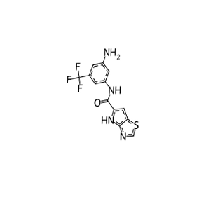 Nc1cc(NC(=O)c2cc3scnc3[nH]2)cc(C(F)(F)F)c1